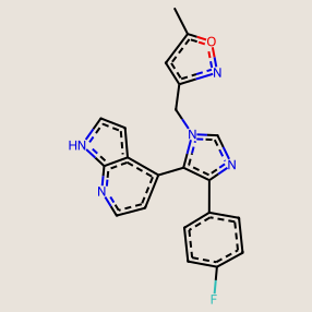 Cc1cc(Cn2cnc(-c3ccc(F)cc3)c2-c2ccnc3[nH]ccc23)no1